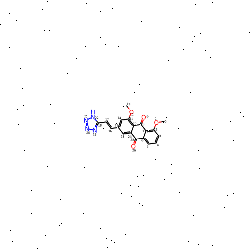 COc1cccc2c1C(=O)c1c(OC)cc(C=Cc3nnn[nH]3)cc1C2=O